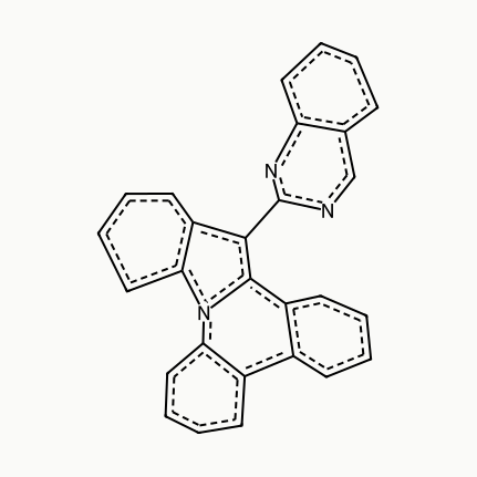 c1ccc2nc(-c3c4ccccc4n4c5ccccc5c5ccccc5c34)ncc2c1